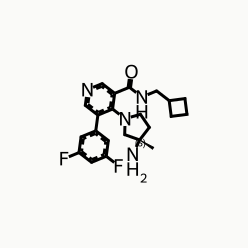 C[C@]1(N)CCN(c2c(C(=O)NCC3CCC3)cncc2-c2cc(F)cc(F)c2)C1